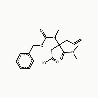 C=CCC(CC(=O)O)(C(=O)N(C)C)N(C)C(=O)OCc1ccccc1